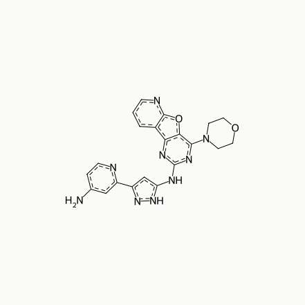 Nc1ccnc(-c2cc(Nc3nc(N4CCOCC4)c4oc5ncccc5c4n3)[nH]n2)c1